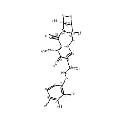 COc1c2n(cc(C(=O)NCc3ccc(F)c(Cl)c3F)c1=O)C[C@H]1C3CC[C@@H]3N1C2=O